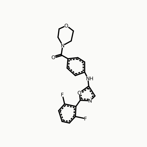 O=C(c1ccc(Nc2cnc(-c3c(F)cccc3F)o2)cc1)N1CCOCC1